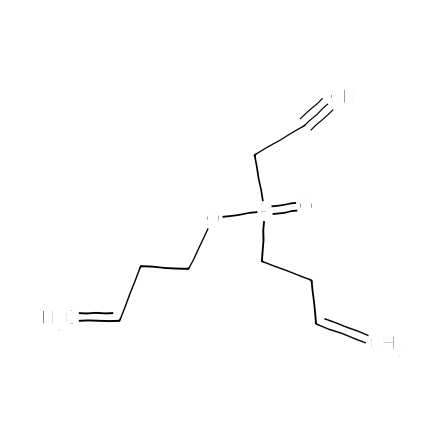 C#CCP(=O)(CCC=C)OCCC=C